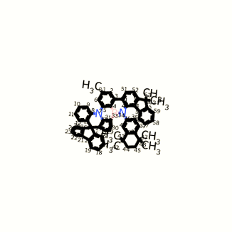 Cc1cc2c3c(c1)N1c4ccccc4C4(c5ccccc5-c5ccccc54)c4cccc(c41)B3N(c1ccc3c(c1)C(C)(C)CCC3(C)C)c1c-2ccc2c1-c1ccccc1C2(C)C